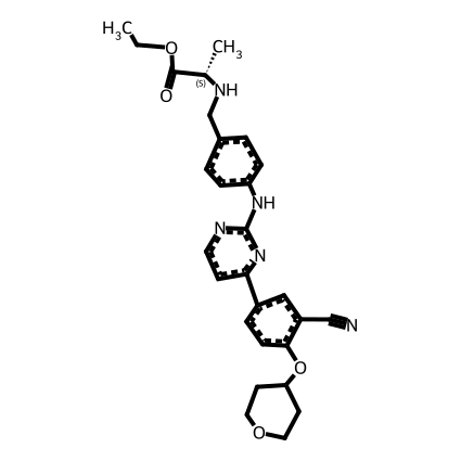 CCOC(=O)[C@H](C)NCc1ccc(Nc2nccc(-c3ccc(OC4CCOCC4)c(C#N)c3)n2)cc1